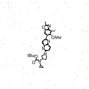 COc1c(-c2ccc3nc(N4CCC(N(C(=O)OC(C)(C)C)C5CC5)C4)ccc3n2)cc2oc(C)nc2c1C